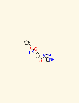 O=C(N[C@H]1CC[C@H](C(=O)c2ncnc3[nH]ccc23)CC1)OCc1ccccc1